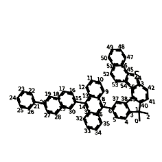 CC1(C)c2ccc(-c3c4ccccc4c(-c4ccc5cc(-c6ccccc6)ccc5c4)c4ccccc34)cc2-c2c1ccc1sc3c4ccccc4ccc3c21